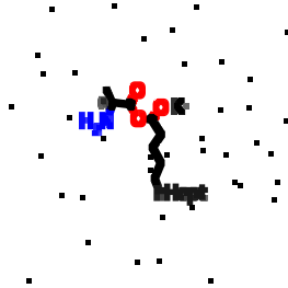 CCCCCCCCCCCC(=O)OC(=O)[C@H](C)N.[K]